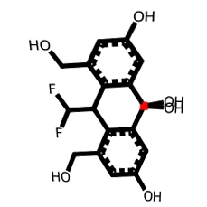 OCc1cc(O)cc(CO)c1C(c1c(CO)cc(O)cc1CO)C(F)F